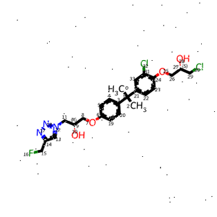 CC(C)(c1ccc(OC[C@H](O)Cn2cc(CF)nn2)cc1)c1ccc(OC[C@H](O)CCl)c(Cl)c1